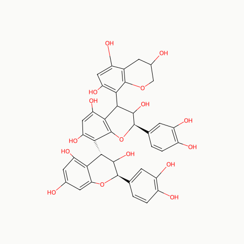 Oc1cc(O)c2c(c1)O[C@H](c1ccc(O)c(O)c1)C(O)[C@H]2c1c(O)cc(O)c2c1O[C@H](c1ccc(O)c(O)c1)C(O)C2c1c(O)cc(O)c2c1OCC(O)C2